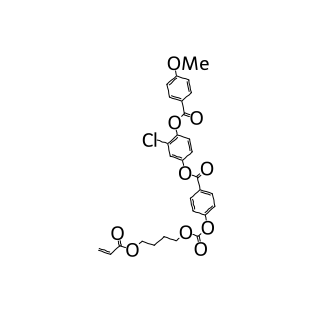 C=CC(=O)OCCCCOC(=O)Oc1ccc(C(=O)Oc2ccc(OC(=O)c3ccc(OC)cc3)c(Cl)c2)cc1